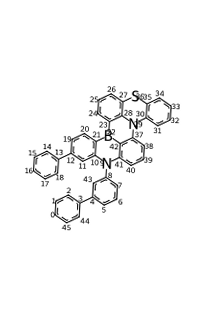 c1ccc(-c2cccc(N3c4cc(-c5ccccc5)ccc4B4c5cccc6c5N(c5ccccc5S6)c5cccc3c54)c2)cc1